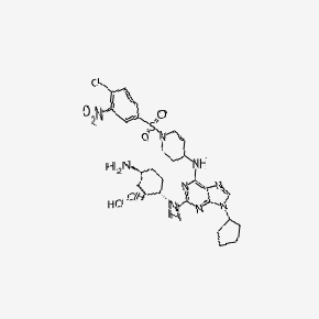 Cl.Cl.N[C@H]1CC[C@H](Nc2nc(NC3CCN(S(=O)(=O)c4ccc(Cl)c([N+](=O)[O-])c4)CC3)c3ncn(C4CCCC4)c3n2)CC1